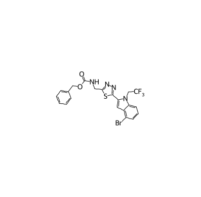 O=C(NCc1nnc(-c2cc3c(Br)cccc3n2CC(F)(F)F)s1)OCc1ccccc1